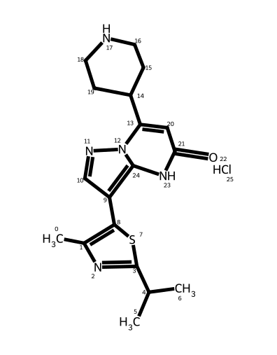 Cc1nc(C(C)C)sc1-c1cnn2c(C3CCNCC3)cc(=O)[nH]c12.Cl